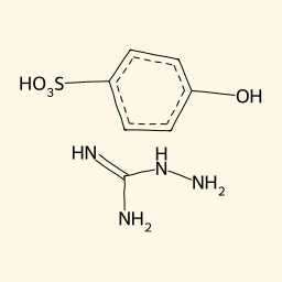 N=C(N)NN.O=S(=O)(O)c1ccc(O)cc1